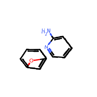 Nc1ccccn1.c1cc2cc(c1)O2